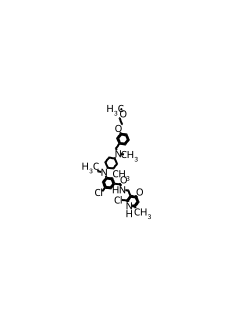 CCN(c1cc(Cl)cc(C(=O)NCc2c(Cl)[nH]c(C)cc2=O)c1C)[C@H]1CC[C@H](N(C)Cc2cccc(OCCOC)c2)CC1